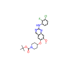 COc1cc2nc(Nc3cccc(Cl)c3F)ncc2cc1OC1CCN(C(=O)OC(C)(C)C)CC1